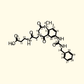 CN1C(=O)CN(CC(=O)NCCC(=O)O)C(=O)c2cc(NC(=O)NCc3ccccc3)ccc21